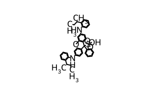 CCC(C)c1ccccc1Nc1ccc2c(c1)Oc1cc(Nc3ccccc3C(C)CC)ccc1C2(c1ccccc1)S(=O)(=O)O